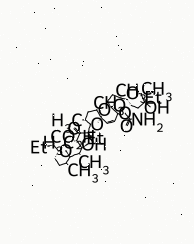 CC[C@@H](C(=O)[C@@H](C)[C@@H](O)[C@H](C)[C@@H]1O[C@@H]([C@@H](CC)C(=O)O)CCC1C)[C@H]1O[C@]2(C=C[C@@H](OC(N)=O)[C@]3(CC[C@@](C)([C@H]4CC[C@](O)(CC)[C@H](C)O4)O3)O2)[C@H](C)C[C@@H]1C